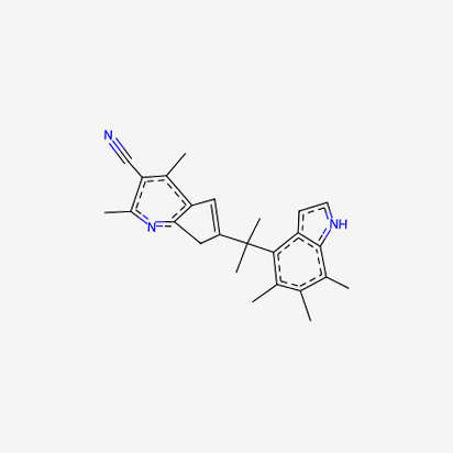 Cc1nc2c(c(C)c1C#N)C=C(C(C)(C)c1c(C)c(C)c(C)c3[nH]ccc13)C2